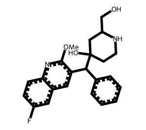 COc1nc2ccc(F)cc2cc1C(c1ccccc1)C1(O)CCNC(CO)C1